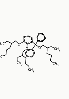 CCCCC(CC)COc1cccc(C(OCC(CC)CCCC)(c2ccccc2)c2ccccc2)c1OCC(CC)CCCC